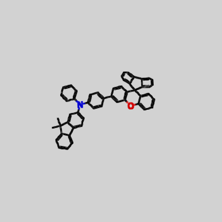 CC1(C)c2ccccc2-c2ccc(N(c3ccccc3)c3ccc(-c4ccc5c(c4)Oc4ccccc4C54c5ccccc5-c5ccccc54)cc3)cc21